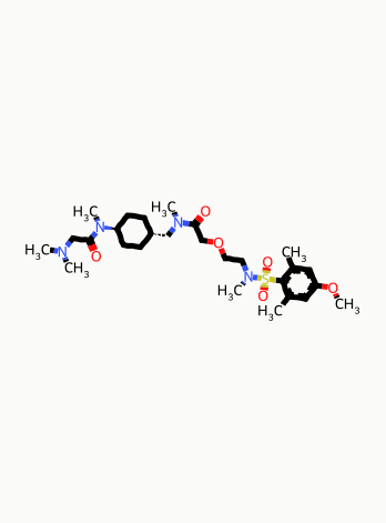 COc1cc(C)c(S(=O)(=O)N(C)CCOCC(=O)N(C)C[C@H]2CC[C@H](N(C)C(=O)CN(C)C)CC2)c(C)c1